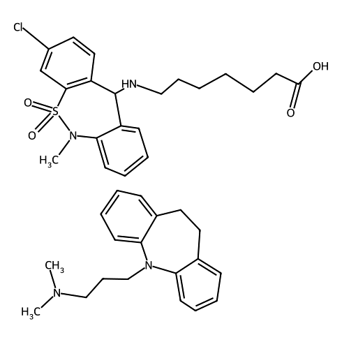 CN(C)CCCN1c2ccccc2CCc2ccccc21.CN1c2ccccc2C(NCCCCCCC(=O)O)c2ccc(Cl)cc2S1(=O)=O